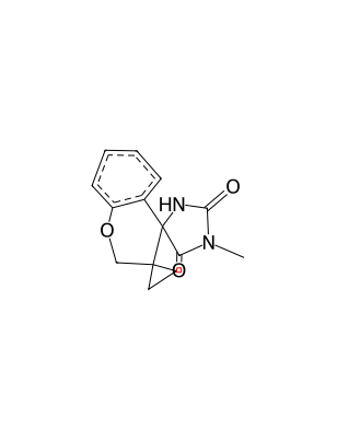 CN1C(=O)NC2(C1=O)c1ccccc1OCC21CC1